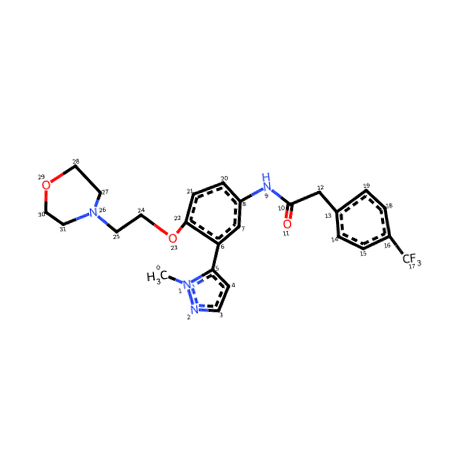 Cn1nccc1-c1cc(NC(=O)Cc2ccc(C(F)(F)F)cc2)ccc1OCCN1CCOCC1